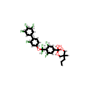 CCCC1(C)COC(O)(c2cc(F)c(C(F)(F)Oc3ccc(-c4cc(F)c(F)c(F)c4)c(F)c3)c(F)c2)OC1